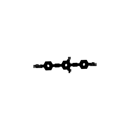 CCCCCCCCc1ccc(C#Cc2cc(F)c(C#Cc3ccc(CCCC)cc3)c(F)c2)cc1